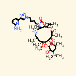 CC[C@H]1OC(=O)[C@H](C)C(=O)[C@H](C)[C@@H](O[C@@H]2O[C@H](C)CC(N(C)C)C2O)[C@](C)(OC)C[C@@H](C)CN[C@H](C)[C@H]2N(CCCCn3cc(-c4cccc(N)n4)nn3)C(=O)O[C@]12C